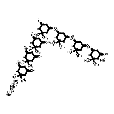 Br.Br.Br.Br.Br.Br.Br.CC1(C)CC(=O)CC(=O)C1.CC1(C)CC(=O)CC(=O)C1.CC1(C)CC(=O)CC(=O)C1.CC1(C)CC(=O)CC(=O)C1.CC1(C)CC(=O)CC(=O)C1.CC1(C)CC(=O)CC(=O)C1.CC1(C)CC(=O)CC(=O)C1